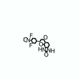 O=c1[nH]c2ccc3c(=O)cc(-c4cc(F)c(N5CCCC5)c(F)c4)oc3c2[nH]1